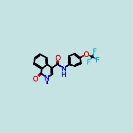 Cn1cc(C(=O)Nc2ccc(OC(F)(F)F)cc2)c2ccccc2c1=O